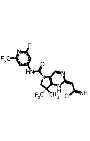 C[C@@]1(C(F)(F)F)CN(C(=O)Nc2cc(F)nc(C(F)(F)F)c2)C2=C1N/C(=C\C(=N)Cl)N=C2